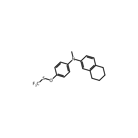 CN(c1ccc(OSC(F)(F)F)cc1)c1ccc2c(c1)CCCC2